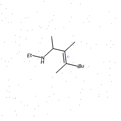 CCNC(C)/C(C)=C(\C)C(C)CC